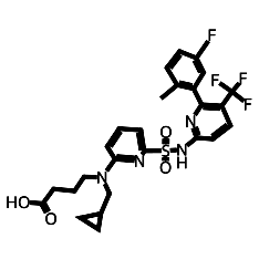 Cc1ccc(F)cc1-c1nc(NS(=O)(=O)c2cccc(N(CCCC(=O)O)CC3CC3)n2)ccc1C(F)(F)F